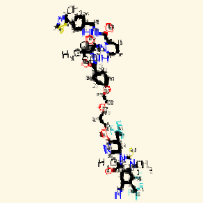 Cc1ncsc1-c1ccc(CNC(=O)C2CCCN2C(=O)C(NC(=O)c2ccc(OCCOCCCOc3ncc(N(C(=S)N(C)c4ccc(C#N)c(C(F)(F)F)c4F)C(C)(C)C=O)cc3C(F)(F)F)cc2)C(C)(C)C)cc1